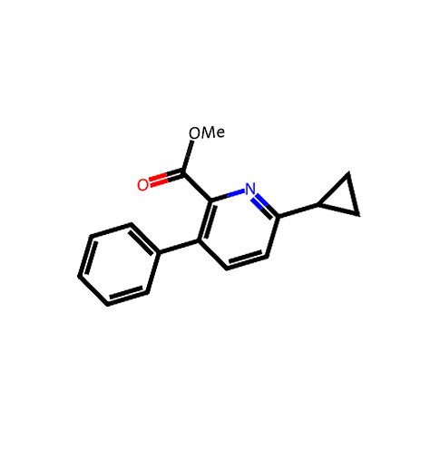 COC(=O)c1nc(C2CC2)ccc1-c1ccccc1